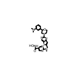 CN(C)c1cccc(C2CN(c3ncc4sc(CN(C)c5ncc(C(=O)NO)cn5)cc4n3)CCO2)c1